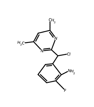 Cc1cc(C)nc(C(Cl)c2cccc(F)c2N)n1